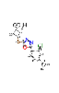 O=C(O)C1CC(Sc2nnc(-c3ccc(C4CC4)cc3Cl)o2)C1